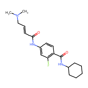 CN(C)C/C=C/C(=O)Nc1ccc(C(=O)NC2CCCCC2)c(F)c1